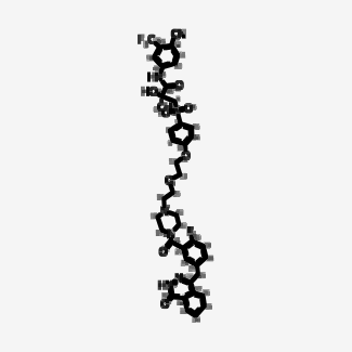 C[C@](O)(CS(=O)(=O)c1ccc(OCCOCCN2CCN(C(=O)c3cc(Cc4n[nH]c(=O)c5ccccc45)ccc3F)CC2)cc1)C(=O)Nc1ccc(C#N)c(C(F)(F)F)c1